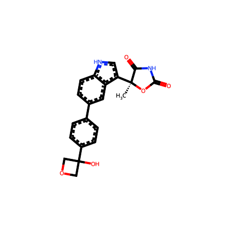 C[C@@]1(c2c[nH]c3ccc(-c4ccc(C5(O)COC5)cc4)cc23)OC(=O)NC1=O